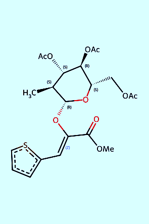 COC(=O)/C(=C/c1cccs1)O[C@H]1O[C@@H](COC(C)=O)[C@H](OC(C)=O)[C@@H](OC(C)=O)[C@@H]1C